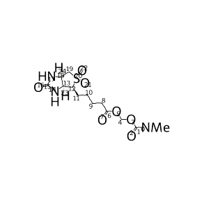 CNC(=O)OCOC(=O)CCCC[C@H]1[C@H]2NC(=O)N[C@H]2CS1(=O)=O